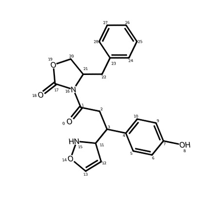 O=C(CC(c1ccc(O)cc1)C1C=CON1)N1C(=O)OCC1Cc1ccccc1